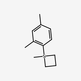 Cc1ccc([Si]2(C)CCC2)c(C)c1